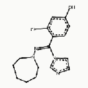 Oc1ccc(C(=NN2CCCCCC2)n2ccnc2)c(Cl)c1